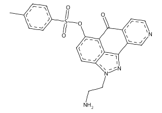 Cc1ccc(S(=O)(=O)Oc2ccc3c4c(nn3CCN)-c3cnccc3C(=O)c24)cc1